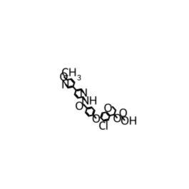 COc1ccc(-c2ccc(NC(=O)c3ccc(Oc4cc5c(cc4Cl)C(OC(=O)O)CCO5)cc3)nc2)cn1